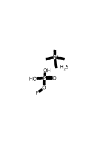 C[N+](C)(C)C.O=P(O)(O)OF.S